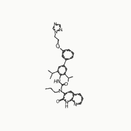 CCCN(C(=O)Nc1c(C(C)C)cc(-c2cccc(OCCn3cncn3)c2)cc1C(C)C)c1cc2cccnc2[nH]c1=O